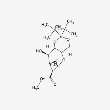 COC(=O)[C@@H]1[C@H]2O[C@@H]3CO[Si](C(C)(C)C)(C(C)(C)C)O[C@@H]3[C@H](O)[C@H]21